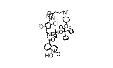 COc1cc(-c2noc(CCCN(C)[C@H]3CC[C@H](OC(=O)C(O)(c4cccs4)c4cccs4)CC3)n2)c(Cl)cc1CNC[C@H](O[Si](C)(C)C(C)(C)C)c1cccc2c1ccc(=O)n2O